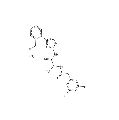 COCc1ccccc1-c1cnc(NC(=O)C(C)NC(=O)Cc2cc(F)cc(F)c2)s1